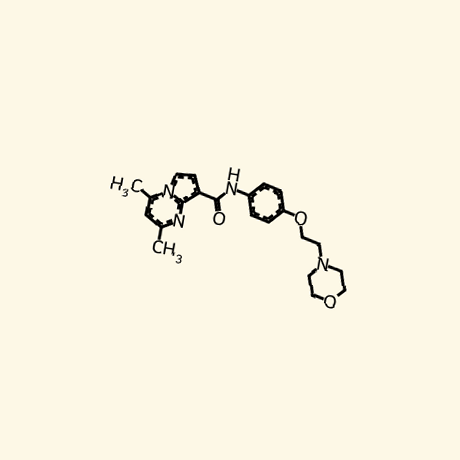 Cc1cc(C)n2ccc(C(=O)Nc3ccc(OCCN4CCOCC4)cc3)c2n1